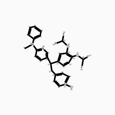 CN(c1ccccc1)c1ccc(C(Cc2cc[n+]([O-])cc2)c2ccc(OC(F)F)c(OC(F)F)c2)cn1